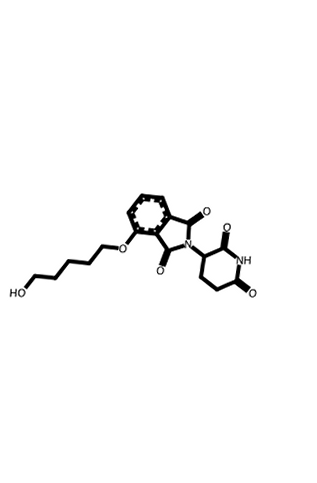 O=C1CCC(N2C(=O)c3cccc(OCCCCCO)c3C2=O)C(=O)N1